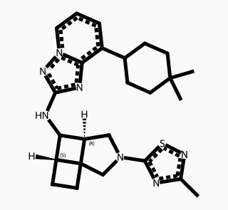 Cc1nsc(N2C[C@@H]3C(Nc4nc5c(C6CCC(C)(C)CC6)cccn5n4)[C@H]4CCC43C2)n1